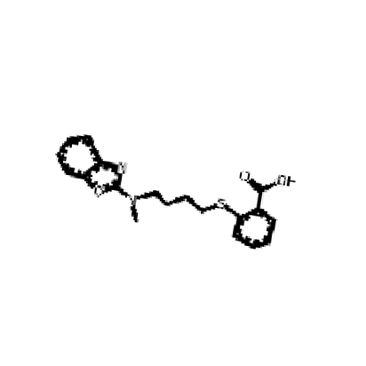 CN(CCCCSc1ccccc1C(=O)O)c1nc2ccccc2o1